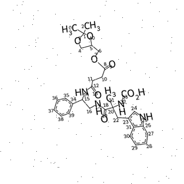 CC1(C)OCC(COC(=O)CCC(=O)NC(CNC(=O)C(C)(Cc2c[nH]c3ccccc23)NC(=O)O)c2ccccc2)O1